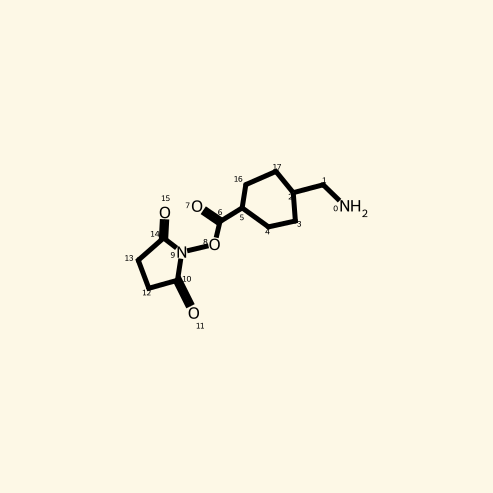 NCC1CCC(C(=O)ON2C(=O)CCC2=O)CC1